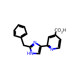 O=C(O)c1ccnc(-c2c[nH]c(Cc3ccccc3)n2)c1